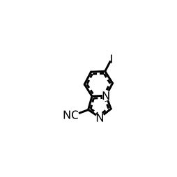 N#Cc1ncn2cc(I)ccc12